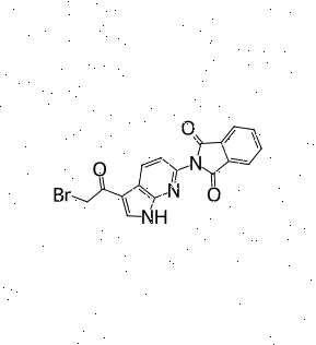 O=C(CBr)c1c[nH]c2nc(N3C(=O)c4ccccc4C3=O)ccc12